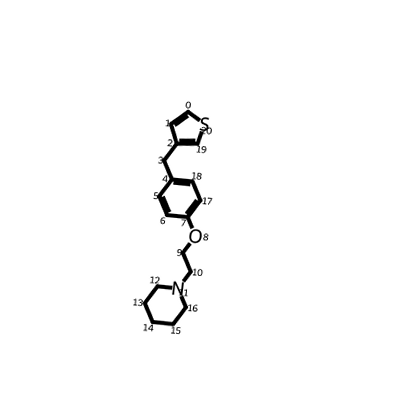 c1cc(Cc2ccc(OCCN3CCCCC3)cc2)cs1